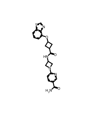 NC(=O)c1ccc(N2CC(NC(=O)C3CC(Oc4cccc5scnc45)C3)C2)nc1